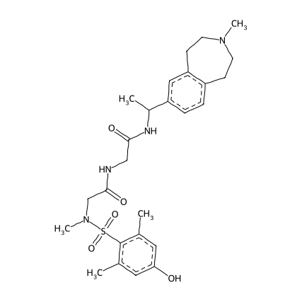 Cc1cc(O)cc(C)c1S(=O)(=O)N(C)CC(=O)NCC(=O)NC(C)c1ccc2c(c1)CCN(C)CC2